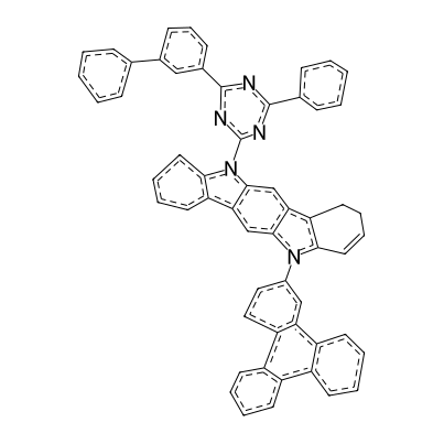 C1=Cc2c(c3cc4c(cc3n2-c2ccc3c5ccccc5c5ccccc5c3c2)c2ccccc2n4-c2nc(-c3ccccc3)nc(-c3cccc(-c4ccccc4)c3)n2)CC1